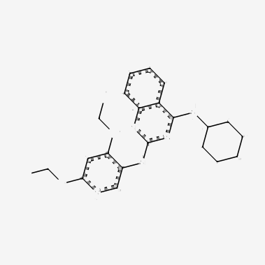 CCOc1cc(OCC)c(Nc2nc(NC3CCCCC3)c3ccccc3n2)cn1